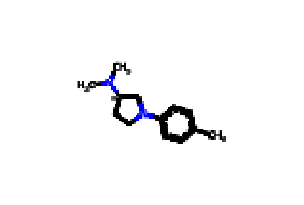 Cc1ccc(N2CC[C@@H](N(C)C)C2)cc1